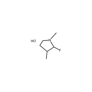 CN1CCN(C)C1F.Cl